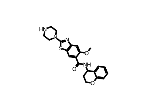 COc1cc2nc(N3CCNCC3)sc2cc1C(=O)NC1CCOc2ccccc21